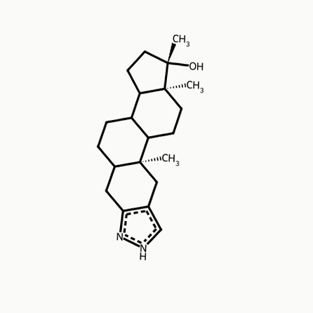 C[C@]12Cc3c[nH]nc3CC1CCC1C2CC[C@@]2(C)C1CC[C@]2(C)O